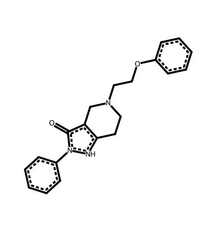 O=c1c2c([nH]n1-c1ccccc1)CCN(CCOc1ccccc1)C2